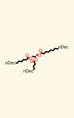 CCCCCCCCCCCCCCCCCC(=O)OC[C@H](COC(=O)CCCCCCCCCCCCCCC)OC(=O)CCCCCCCCCCCCC